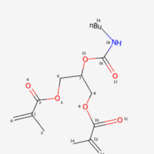 C=C(C)C(=O)OCC(COC(=O)C(=C)C)OC(=O)NCCCC